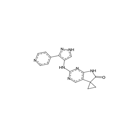 O=C1Nc2nc(Nc3c[nH]nc3-c3ccncc3)ncc2C12CC2